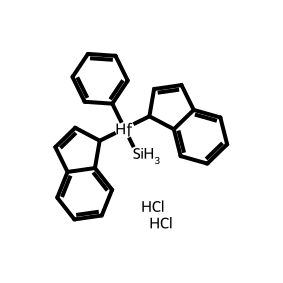 Cl.Cl.[SiH3][Hf]([c]1ccccc1)([CH]1C=Cc2ccccc21)[CH]1C=Cc2ccccc21